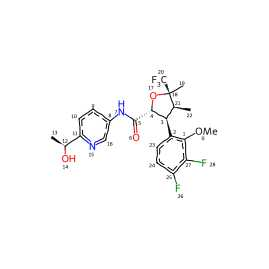 COc1c([C@H]2[C@H](C(=O)Nc3ccc([C@H](C)O)nc3)O[C@@](C)(C(F)(F)F)[C@H]2C)ccc(F)c1F